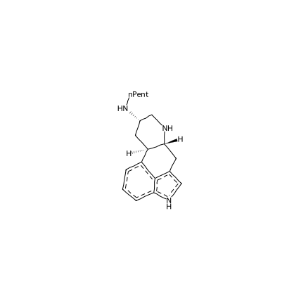 CCCCCN[C@@H]1CN[C@@H]2Cc3c[nH]c4cccc(c34)[C@H]2C1